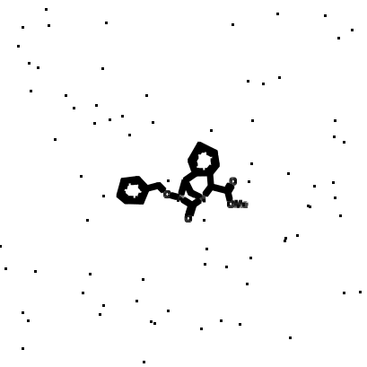 COC(=O)C1c2ccccc2C2CN1C(=O)N2OCc1ccccc1